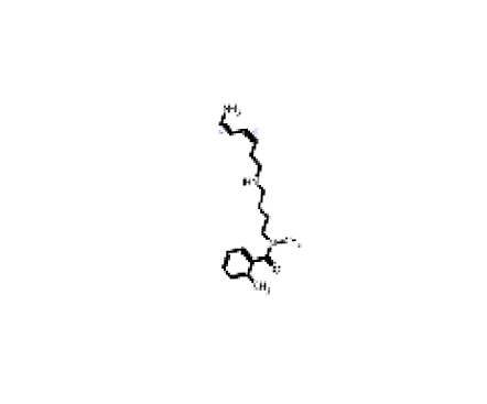 Cc1ccccc1C(=O)N(C)CCCCNCC/C=C\C=C/N